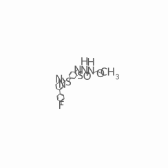 COCCNC(=O)Nc1nc2ccc(Sc3cnc4ccc(-c5ccc(F)cc5)cn34)cc2s1